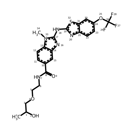 CC(O)COCCNC(=O)c1ccc2c(c1)nc(Nc1nc3ccc(OC(F)(F)F)cc3s1)n2C